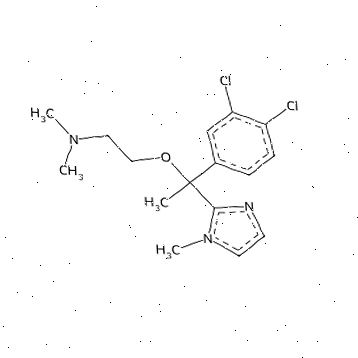 CN(C)CCOC(C)(c1ccc(Cl)c(Cl)c1)c1nccn1C